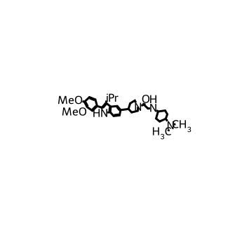 COc1ccc(-c2[nH]c3ccc(C4CCN(C(=O)CNC5CCC(N(C)C)CC5)CC4)cc3c2C(C)C)cc1OC